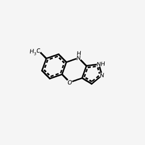 Cc1ccc2c(c1)Nc1[nH]ncc1O2